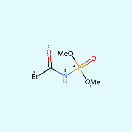 CCC(=O)NP(=O)(OC)OC